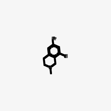 CC(C)c1cc(Cl)c2c(c1)CCN(C)C2